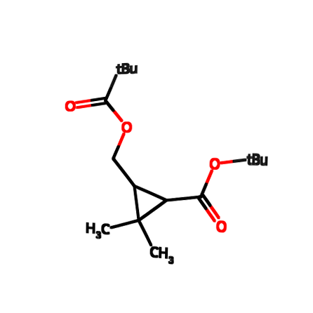 CC(C)(C)OC(=O)C1C(COC(=O)C(C)(C)C)C1(C)C